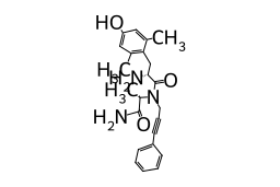 Cc1cc(O)cc(C)c1C[C@@H](N)C(=O)N(CC#Cc1ccccc1)[C@H](C)C(N)=O